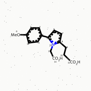 COc1ccc(-c2ccc(CCC(=O)O)n2CC(=O)O)cc1